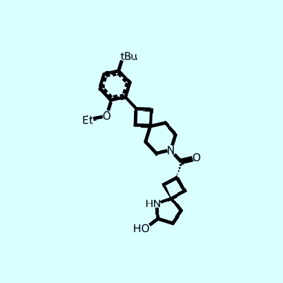 CCOc1ccc(C(C)(C)C)cc1C1CC2(CCN(C(=O)[C@H]3C[C@]4(CCC(O)N4)C3)CC2)C1